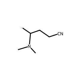 [CH2]C(CCC#N)N(C)C